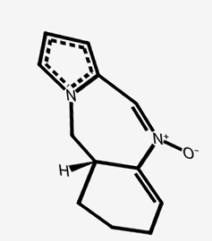 [O-][N+]1=Cc2cccn2C[C@H]2CCCC=C21